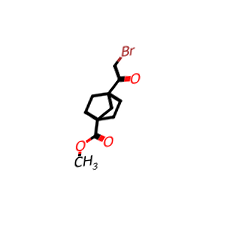 COC(=O)C12CCC(C(=O)CBr)(CC1)C2